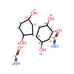 N=C=O.N=C=O.OC1CCC(O)CC1.OC1CCC(O)CC1